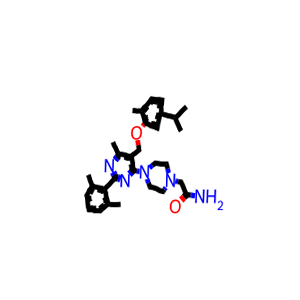 Cc1ccc(C(C)C)cc1OCc1c(C)nc(-c2c(C)cccc2C)nc1N1CCN(CC(N)=O)CC1